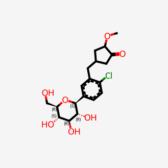 COC1CC(Cc2cc([C@@H]3O[C@H](CO)[C@@H](O)[C@H](O)[C@H]3O)ccc2Cl)CC1=O